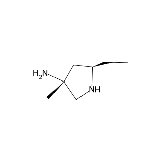 CC[C@@H]1C[C@@](C)(N)CN1